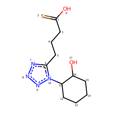 OC(=S)CCCc1nnnn1C1CCCCC1O